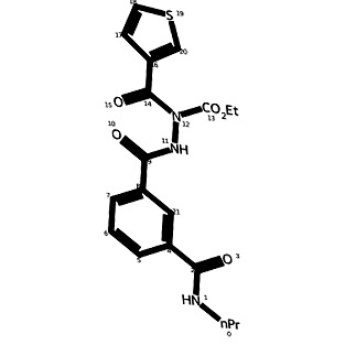 CCCNC(=O)c1cccc(C(=O)NN(C(=O)OCC)C(=O)c2ccsc2)c1